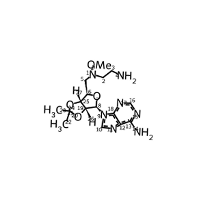 CON(CCN)C[C@H]1O[C@@H](n2cnc3c(N)ncnc32)[C@@H]2OC(C)(C)O[C@@H]21